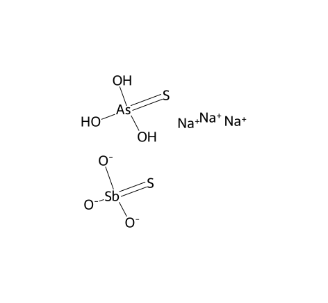 O[As](O)(O)=S.[Na+].[Na+].[Na+].[O-][Sb]([O-])([O-])=[S]